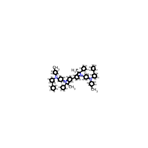 Cc1ccc(N(c2ccc(-n3c(-c4ccccc4)c(C)c4cc(-c5ccc6c(c5)c(C)c(-c5ccccc5)n6-c5ccc(N(c6ccc(C)cc6)c6cccc(-c7ccccc7)c6)cc5)ccc43)cc2)c2cccc(-c3ccccc3)c2)cc1